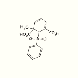 CC1(C(=O)O)C=CC=C(C(=O)O)C1S(=O)(=O)c1ccccc1